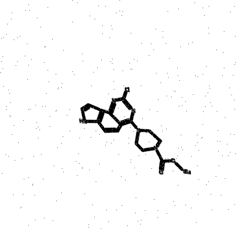 CC(C)(C)OC(=O)N1CCN(c2nc(Cl)nc3c2ccc2[nH]ccc23)CC1